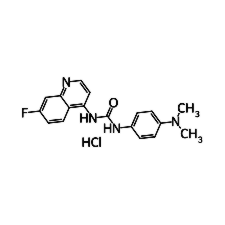 CN(C)c1ccc(NC(=O)Nc2ccnc3cc(F)ccc23)cc1.Cl